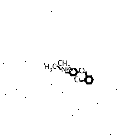 CC(C)CNCc1ccc2c(c1)OCc1ccccc1CO2